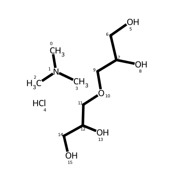 CN(C)C.Cl.OCC(O)COCC(O)CO